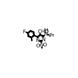 Cc1cc(F)ccc1-c1nc(S(C)(=O)=O)nc(NC(C)C)c1C=O